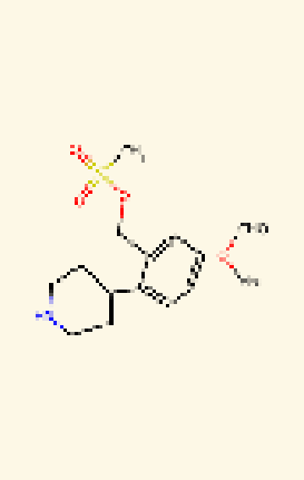 CC(C)(C)OC=O.CS(=O)(=O)OCc1ccccc1C1CCNCC1